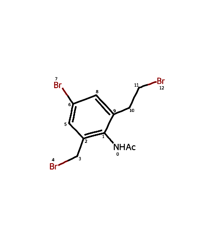 CC(=O)Nc1c(CBr)cc(Br)cc1CCBr